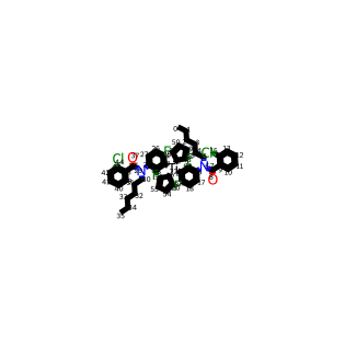 CCCCCCN(C(=O)c1ccccc1Cl)c1ccc(F)[c]([Ti]([c]2c(F)ccc(N(CCCCCC)C(=O)c3ccccc3Cl)c2F)([CH]2C=CC=C2)[CH]2C=CC=C2)c1F